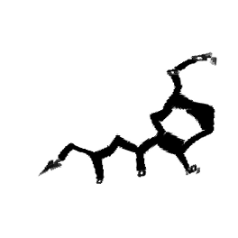 CC(=O)CC(=O)CC(=O)c1cc(OC(F)(F)F)ccc1[N+](=O)[O-]